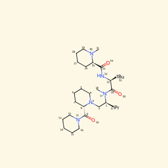 CC(C)[C@@H](CN1CCCC[C@H]1C(=O)N1CCCCC1)N(C)C(=O)[C@@H](NC(=O)[C@H]1CCCCN1C)C(C)(C)C